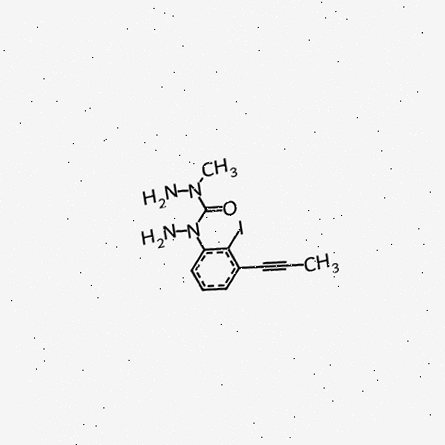 CC#Cc1cccc(N(N)C(=O)N(C)N)c1I